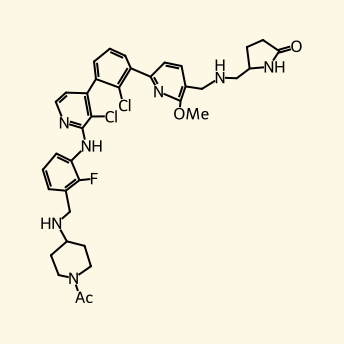 COc1nc(-c2cccc(-c3ccnc(Nc4cccc(CNC5CCN(C(C)=O)CC5)c4F)c3Cl)c2Cl)ccc1CNCC1CCC(=O)N1